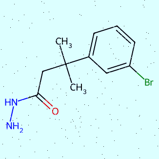 CC(C)(CC(=O)NN)c1cccc(Br)c1